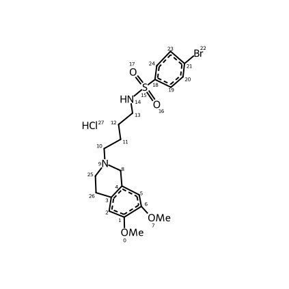 COc1cc2c(cc1OC)CN(CCCCNS(=O)(=O)c1ccc(Br)cc1)CC2.Cl